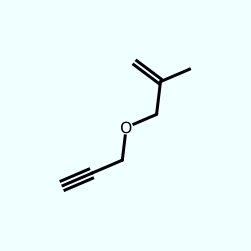 C#CCOCC(=C)C